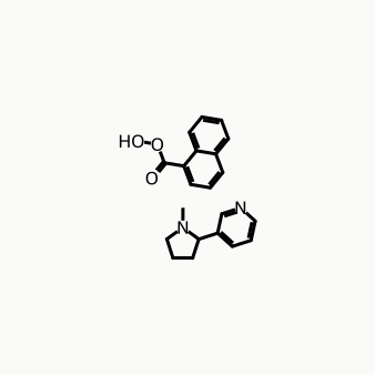 CN1CCCC1c1cccnc1.O=C(OO)c1cccc2ccccc12